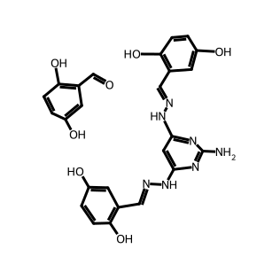 Nc1nc(N/N=C/c2cc(O)ccc2O)cc(N/N=C/c2cc(O)ccc2O)n1.O=Cc1cc(O)ccc1O